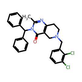 Cc1nc2c(c(=O)n1C(c1ccccc1)c1ccccc1)CN(Cc1cccc(Cl)c1Cl)CC2